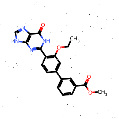 CCOc1cc(-c2cccc(C(=O)OC)c2)ccc1-c1nc2[nH]cnc2c(=O)[nH]1